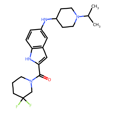 CC(C)N1CCC(Nc2ccc3[nH]c(C(=O)N4CCCC(F)(F)C4)cc3c2)CC1